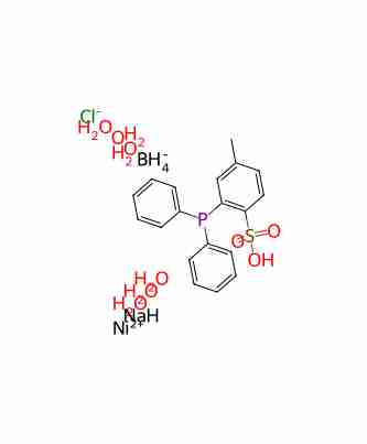 Cc1ccc(S(=O)(=O)O)c(P(c2ccccc2)c2ccccc2)c1.O.O.O.O.O.O.[BH4-].[Cl-].[NaH].[Ni+2]